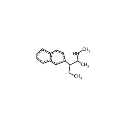 CCC(c1ccc2ccccc2c1)C(C)NC